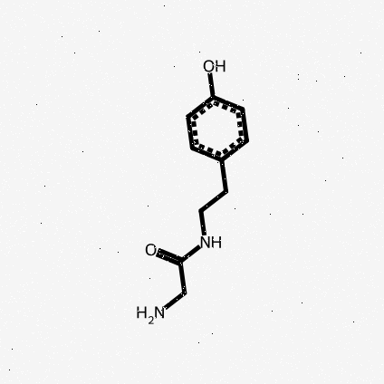 NCC(=O)NCCc1ccc(O)cc1